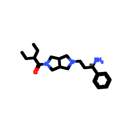 CCC(CC)C(=O)N1CC2CN(CC[C@H](N)c3ccccc3)CC2C1